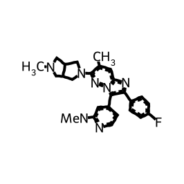 CNc1cc(-c2c(-c3ccc(F)cc3)nc3cc(C)c(N4CC5CN(C)CC5C4)nn23)ccn1